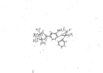 CC1(C)OB(c2ccc(C3C(F)(C(=O)O)C3(C)c3ccccc3)cc2)OC1(C)C